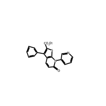 CCOC(=O)c1sc2c(ccc(=O)n2-c2cccnc2)c1-c1ccccc1